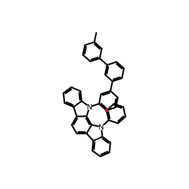 Cc1cccc(-c2cccc(-c3cccc(-n4c5ccccc5c5ccc6c7ccccc7n(-c7ccccc7)c6c54)c3)c2)c1